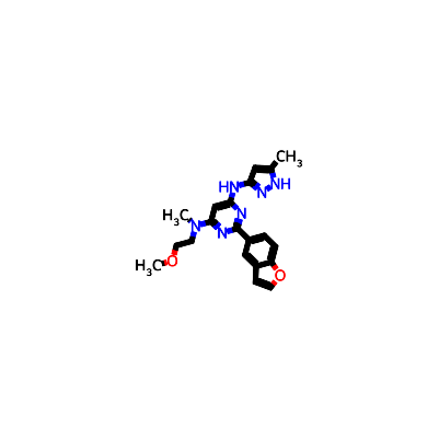 COCCN(C)c1cc(Nc2cc(C)[nH]n2)nc(-c2ccc3occc3c2)n1